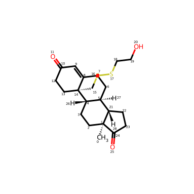 C[C@]12CC[C@H]3[C@@H](CCC4=CC(=O)CC[C@@]43CSSCCO)[C@@H]1CCC2=O